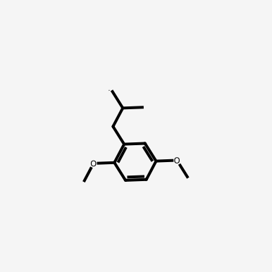 [CH2]C(C)Cc1cc(OC)ccc1OC